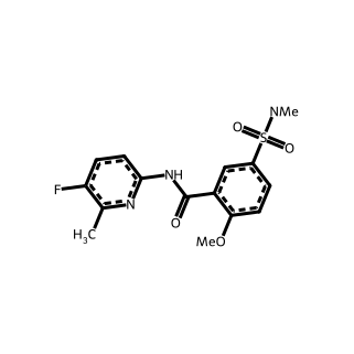 CNS(=O)(=O)c1ccc(OC)c(C(=O)Nc2ccc(F)c(C)n2)c1